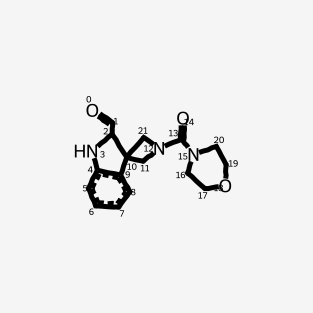 O=CC1Nc2ccccc2C12CN(C(=O)N1CCOCC1)C2